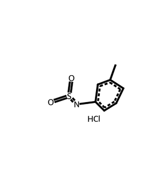 Cc1cccc(N=S(=O)=O)c1.Cl